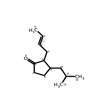 C/C=C/CC1C(=O)CCC1CC(C)C